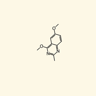 COc1ccc2nc(C)nc(OC)c2c1